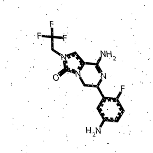 NC1=NC(c2cc(N)ccc2F)Cn2c1cn(CC(F)(F)F)c2=O